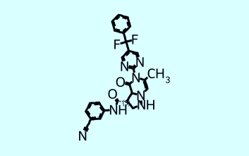 CC1=CN2NC[C@H](C(=O)Nc3cccc(C#N)c3)C2C(=O)N1c1ncc(C(F)(F)c2ccccc2)cn1